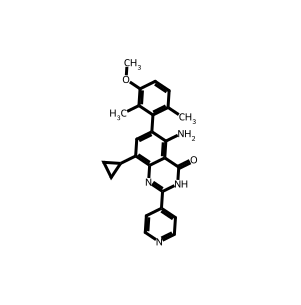 COc1ccc(C)c(-c2cc(C3CC3)c3nc(-c4ccncc4)[nH]c(=O)c3c2N)c1C